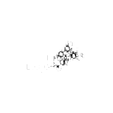 CCOC(=O)CCCNC(=O)c1cnc(N(Cc2cc(C(F)(F)F)cc(C(F)(F)F)c2)Cc2cc(C(F)(F)F)ccc2-c2cc(C(C)C)ccc2OC)nc1